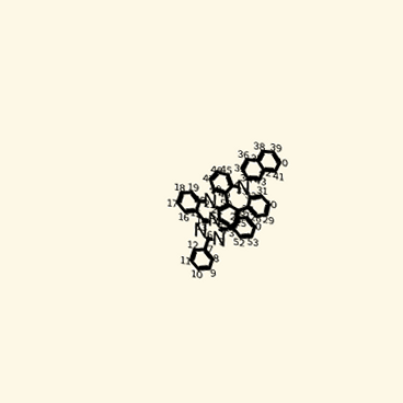 c1ccc(-c2nc(-c3ccccc3)nc(-c3ccccc3-n3c4cccc5c6ccccc6n(-c6ccc7ccccc7c6)c6cccc3c6c54)n2)cc1